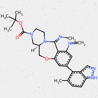 C=Nc1cc(-c2c(C)ccc3[nH]ncc23)cc2c1/C(=N\C)N1CCN(C(=O)OC(C)(C)C)C[C@@H]1CO2